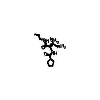 CCCNC(=O)C(NC(=O)C1CCCC1)=C(N)N